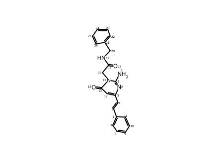 Nc1nc(C=Cc2ccccc2)cc(=O)n1CC(=O)NCc1ccccc1